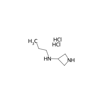 CCCNC1CNC1.Cl.Cl